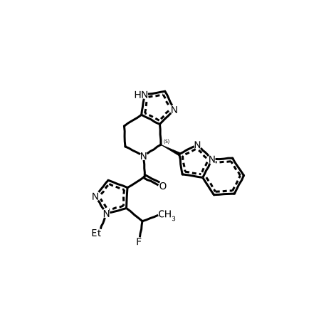 CCn1ncc(C(=O)N2CCc3[nH]cnc3[C@H]2c2cc3ccccn3n2)c1C(C)F